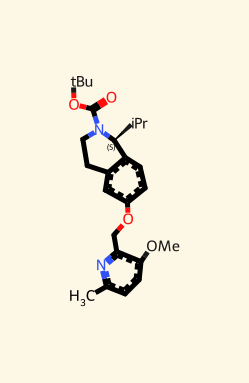 COc1ccc(C)nc1COc1ccc2c(c1)CCN(C(=O)OC(C)(C)C)[C@H]2C(C)C